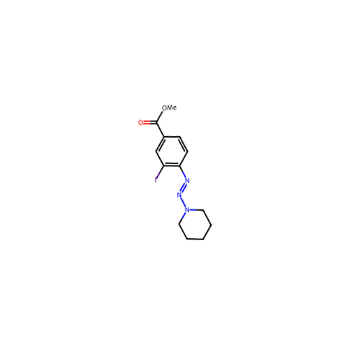 COC(=O)c1ccc(/N=N/N2CCCCC2)c(I)c1